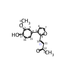 COc1cc(-c2ccoc2/C=C/C(C)=O)ccc1O